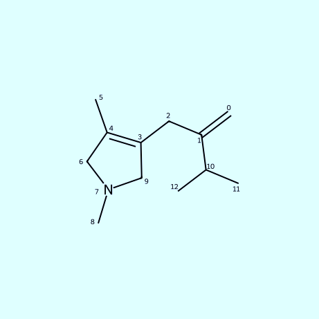 C=C(CC1=C(C)CN(C)C1)C(C)C